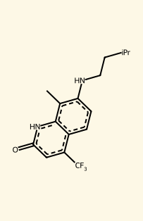 Cc1c(NCCC(C)C)ccc2c(C(F)(F)F)cc(=O)[nH]c12